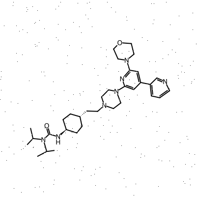 CC(C)N(C(=O)N[C@H]1CC[C@H](CCN2CCN(c3cc(-c4cccnc4)cc(N4CCOCC4)n3)CC2)CC1)C(C)C